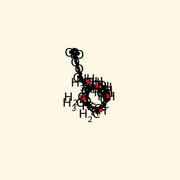 C=C1C[C@@H]2CC[C@@]34C[C@H]5O[C@H]6[C@@H](O3)[C@H]3O[C@H](CC[C@@H]3O[C@H]6[C@H]5O4)CC(=O)C[C@@H]3[C@@H](OC)[C@@H](C[C@H](O)CNC(=O)CCOCCOCCN4C(=O)C=CC4=O)O[C@H]3C[C@H]3O[C@@H](CC[C@@H]1O2)C[C@@H](C)C3=C